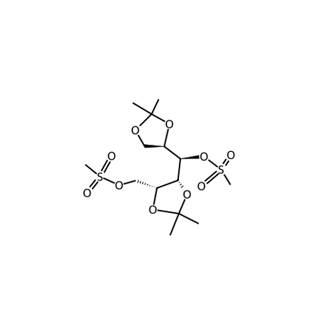 CC1(C)OC[C@H]([C@@H](OS(C)(=O)=O)[C@@H]2OC(C)(C)O[C@@H]2COS(C)(=O)=O)O1